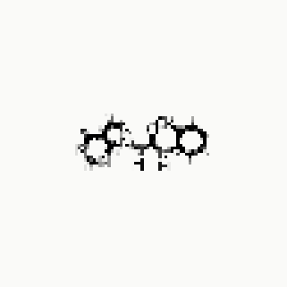 O=C(Nc1ccccc1Cl)Nn1ncc2cncnc21